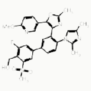 COc1ccc(-c2oc(C)nc2-c2cc(-c3cc(F)c(CO)c(S(C)(=O)=O)c3)ccc2-n2cc(C)nc2C)cn1